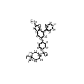 CCc1cc2cc(-c3ccc(C(=O)N4CCC(F)(F)CC4)cc3)cc(-c3ccccn3)c2o1